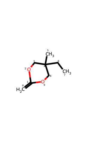 C=C1OCC(C)(CC)CO1